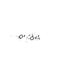 CCCOc1ccc(C(=O)N[C@H](CCO)Cc2ccc(-c3cn(CC)c(C(C)=O)n3)c(F)c2)cc1Cl